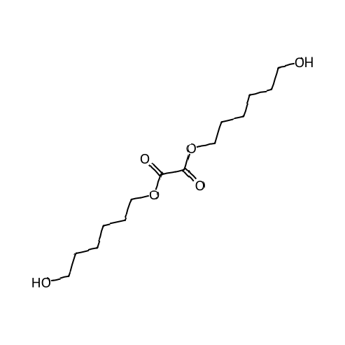 O=C(OCCCCCCO)C(=O)OCCCCCCO